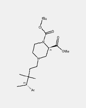 COC(=O)[C@H]1CN(CCC(C)(C)[C@@H](C)C(C)=O)CCN1C(=O)OC(C)(C)C